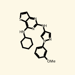 COc1cccc(-n2cc(Nc3nc(NC4CCCCC4)c4sccc4n3)cn2)c1